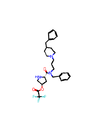 O=C([C@@H]1C[C@@H](OC(=O)C(F)(F)F)CN1)N(CCCN1CCC(Cc2ccccc2)CC1)Cc1ccccc1